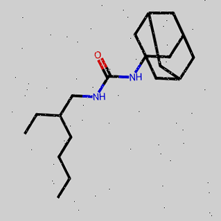 CCCCC(CC)CNC(=O)NC12CC3CC(CC(C3)C1)C2